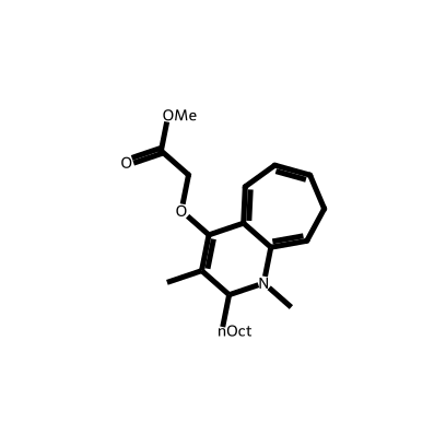 CCCCCCCCC1C(C)=C(OCC(=O)OC)C2=CC=CCC=C2N1C